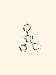 c1ccc([C]2N=C(c3ccccc3)C(c3ccccc3)=N2)cc1